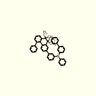 CC1(C)c2cc(-c3cccc(N(c4ccccc4)c4cccc(-c5ccccc5)c4)c3)ccc2-c2c(-c3ccccc3)cccc2C1(C)C